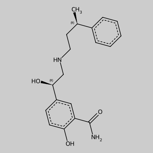 C[C@H](CCNC[C@H](O)c1ccc(O)c(C(N)=O)c1)c1ccccc1